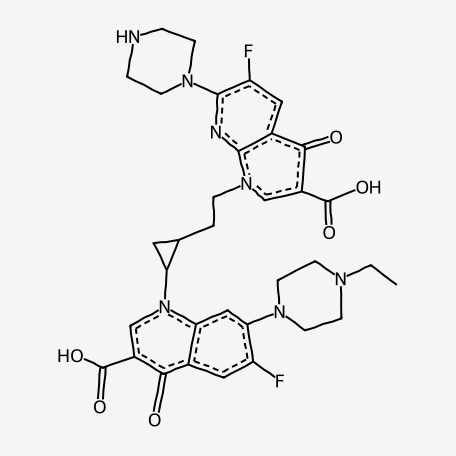 CCN1CCN(c2cc3c(cc2F)c(=O)c(C(=O)O)cn3C2CC2CCn2cc(C(=O)O)c(=O)c3cc(F)c(N4CCNCC4)nc32)CC1